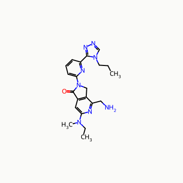 CCCn1cnnc1-c1cccc(N2Cc3c(cc(N(C)CC)nc3CN)C2=O)n1